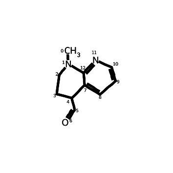 CN1CCC(C=O)c2cccnc21